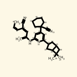 C=C(/C=C(C#N)\C=C/C)Nc1cc(C2(C#N)CCCCC2)cc(C2CC3CC(C)(C)C3C2)n1